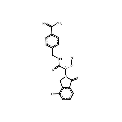 CCO[C@@H](C(=O)NCc1ccc(C(=N)N)cc1)N1Cc2c(F)cccc2C1=O